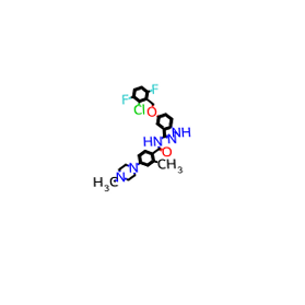 Cc1cc(N2CCN(C)CC2)ccc1C(=O)Nc1n[nH]c2ccc(OCc3c(F)ccc(F)c3Cl)cc12